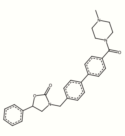 CN1CCN(C(=O)c2ccc(-c3ccc(CN4CC(c5ccccc5)OC4=O)cc3)cc2)CC1